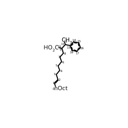 CCCCCCCC/C=C/CCCCCCC(C(=O)O)C(C)c1ccccc1